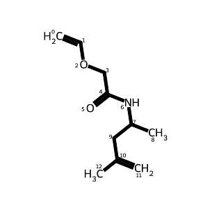 C=COCC(=O)NC(C)CC(=C)C